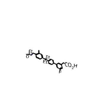 CCC1(/C=C/c2ccc(C(CC)(CC)c3ccc(-c4cc(F)cc(CC(=O)O)c4)cc3)cc2C)CO1